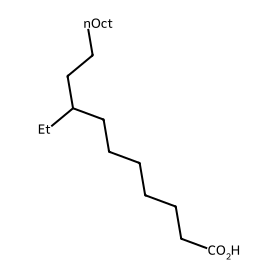 CCCCCCCCCCC(CC)CCCCCCC(=O)O